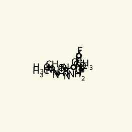 CC(Oc1cc(-c2nn(C)c3c(-c4cnn(C5CCC(C)(C)N(C)C5)c4)cnc(N)c23)ccc1NS(=O)(=O)C(F)F)c1ccc(F)cc1